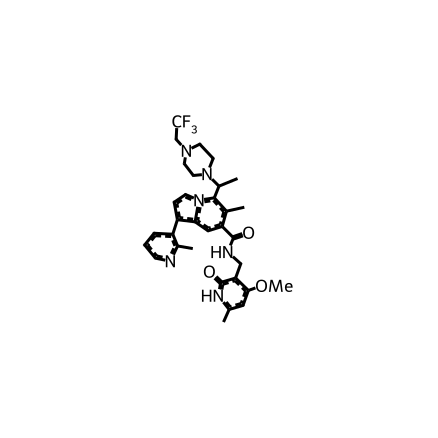 COc1cc(C)[nH]c(=O)c1CNC(=O)c1cc2c(-c3cccnc3C)ccn2c(C(C)N2CCN(CC(F)(F)F)CC2)c1C